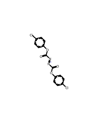 O=C(/N=N/C(=O)Oc1ccc(Cl)cc1)Oc1ccc(Cl)cc1